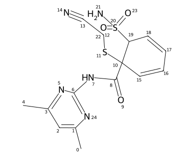 Cc1cc(C)nc(NC(=O)C2(SCC#N)C=CC=CC2S(N)(=O)=O)n1